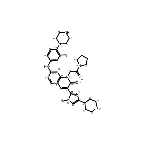 Cc1cc(Nc2ncc3cc(-c4nc(C5CCOCC5)cn4C)c(=O)n(CC(=O)N4CCCC4)c3n2)ccc1N1CCNCC1